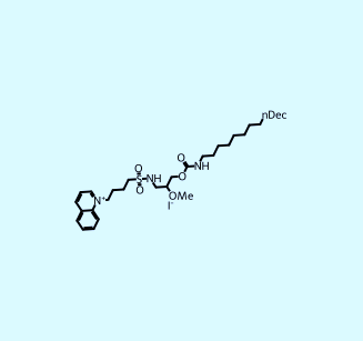 CCCCCCCCCCCCCCCCCCNC(=O)OCC(CNS(=O)(=O)CCCC[n+]1cccc2ccccc21)OC.[I-]